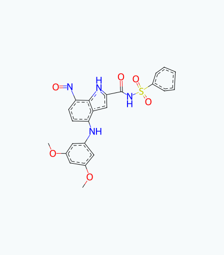 COc1cc(Nc2ccc(N=O)c3[nH]c(C(=O)NS(=O)(=O)c4ccccc4)cc23)cc(OC)c1